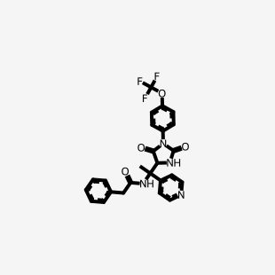 CC(NC(=O)Cc1ccccc1)(c1ccncc1)C1NC(=O)N(c2ccc(OC(F)(F)F)cc2)C1=O